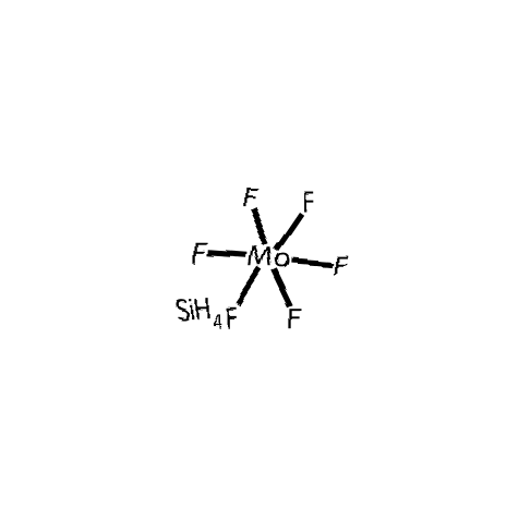 [F][Mo]([F])([F])([F])([F])[F].[SiH4]